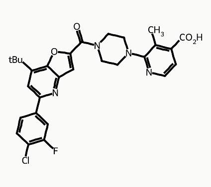 Cc1c(C(=O)O)ccnc1N1CCN(C(=O)c2cc3nc(-c4ccc(Cl)c(F)c4)cc(C(C)(C)C)c3o2)CC1